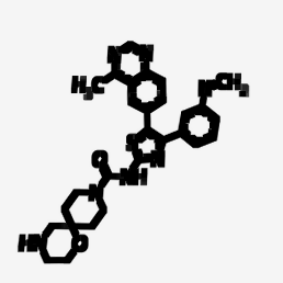 C=Nc1cccc(-c2nc(NC(=O)N3CCC4(CC3)CNCCO4)sc2-c2ccc3ncnc(C)c3c2)c1